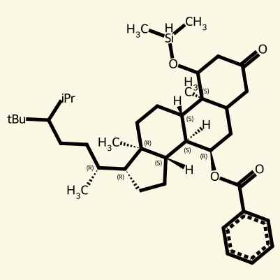 CC(C)C(CC[C@@H](C)[C@H]1CC[C@H]2[C@@H]3[C@H](OC(=O)c4ccccc4)CC4CC(=O)CC(O[SiH](C)C)[C@]4(C)[C@H]3CC[C@]12C)C(C)(C)C